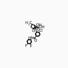 C[C@H]1CC2C[C@](O)(CO)C1[C@@H]2S(=O)(=O)c1cc(C(=O)Nc2ccc(F)c(F)c2)ccc1Cl